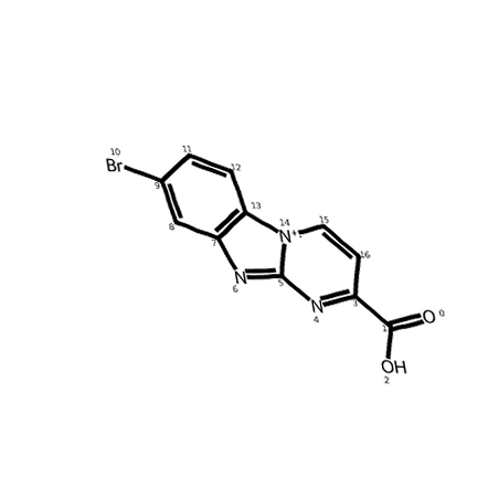 O=C(O)C1=NC2=Nc3cc(Br)ccc3[N+]2C=C1